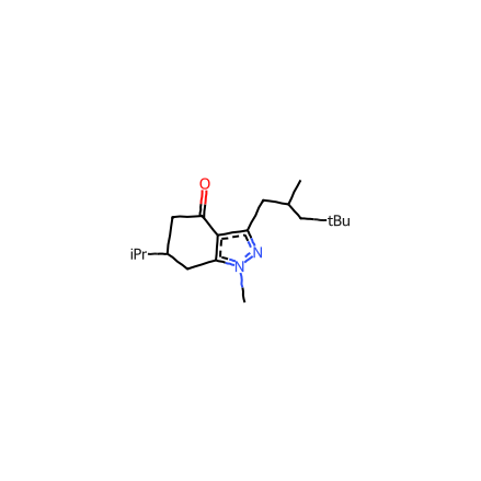 CC(Cc1nn(C)c2c1C(=O)CC(C(C)C)C2)CC(C)(C)C